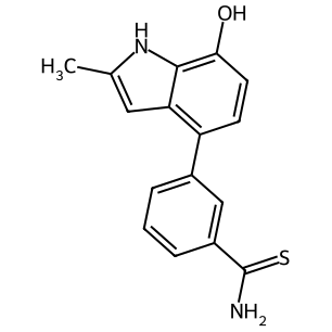 Cc1cc2c(-c3cccc(C(N)=S)c3)ccc(O)c2[nH]1